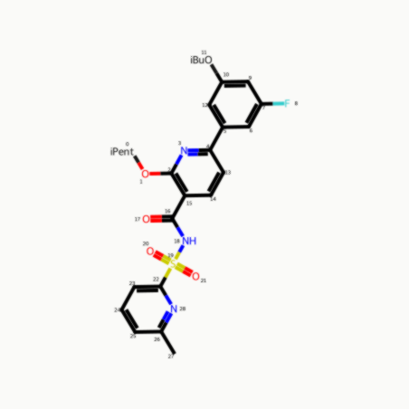 CCCC(C)Oc1nc(-c2cc(F)cc(OCC(C)C)c2)ccc1C(=O)NS(=O)(=O)c1cccc(C)n1